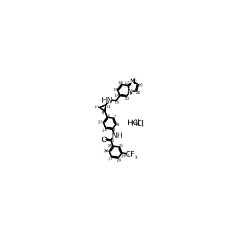 Cl.Cl.O=C(Nc1ccc(C2CC2NCc2ccc3nccn3c2)cc1)c1cccc(C(F)(F)F)c1